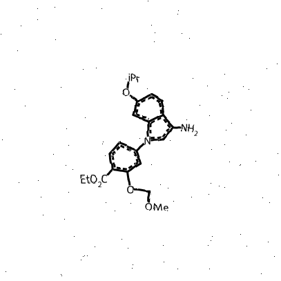 CCOC(=O)c1ccc(-n2cc(N)c3ccc(OC(C)C)cc32)cc1OCOC